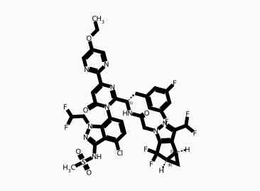 CCOc1cnc(-c2cc(=O)n(-c3ccc(Cl)c4c(NS(C)(=O)=O)nn(CC(F)F)c34)c([C@H](Cc3cc(F)cc(F)c3)NC(=O)Cn3nc(C(F)F)c4c3C(F)(F)[C@@H]3C[C@H]43)n2)nc1